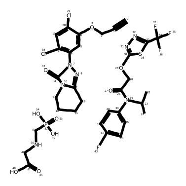 C#CCOc1cc(-n2nc3n(c2=O)CCCC3)c(Cl)cc1Cl.CC(C)N(C(=O)COc1nnc(C(F)(F)F)s1)c1ccc(F)cc1.O=C(O)CNCP(=O)(O)O